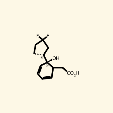 O=C(O)CC1C=CC=C[C@]1(O)[C@@H]1CCC(F)(F)C1